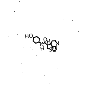 O=C(NC1CCC(O)CC1)C1CS[C@@]23CC=CC=C2N=CC[C@@H]13